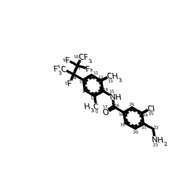 Cc1cc(C(F)(C(F)(F)F)C(F)(F)C(F)(F)F)cc(C)c1NC(=O)c1ccc(CN)c(Cl)c1